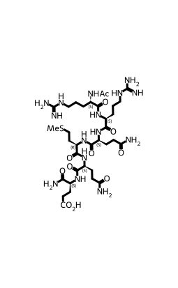 CSCC[C@@H](NC(=O)[C@H](CCC(N)=O)NC(=O)[C@H](CCCNC(=N)N)NC(=O)[C@H](CCCNC(=N)N)NC(C)=O)C(=O)N[C@@H](CCC(N)=O)C(=O)N[C@@H](CCC(=O)O)C(N)=O